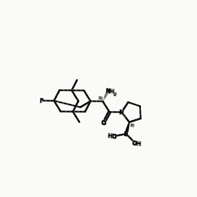 CC12CC3(C)CC(F)(C1)CC([C@H](N)C(=O)N1CCC[C@H]1B(O)O)(C2)C3